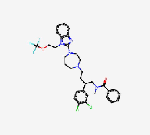 CN(CC(CCN1CCCN(c2nc3ccccc3n2CCOC(F)(F)F)CC1)c1ccc(Cl)c(Cl)c1)C(=O)c1ccccc1